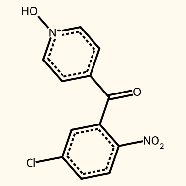 O=C(c1cc[n+](O)cc1)c1cc(Cl)ccc1[N+](=O)[O-]